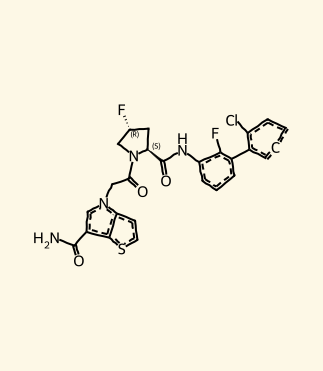 NC(=O)c1cn(CC(=O)N2C[C@H](F)C[C@H]2C(=O)Nc2cccc(-c3ccccc3Cl)c2F)c2ccsc12